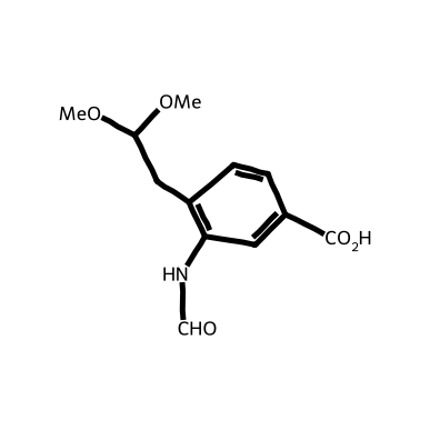 COC(Cc1ccc(C(=O)O)cc1NC=O)OC